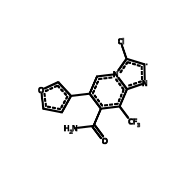 NC(=O)c1c(-c2ccoc2)cn2c(Cl)[c]nc2c1C(F)(F)F